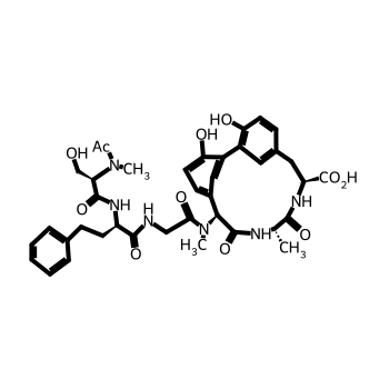 CC(=O)N(C)[C@H](CO)C(=O)N[C@H](CCc1ccccc1)C(=O)NCC(=O)N(C)[C@@H]1C(=O)N[C@@H](C)C(=O)N[C@H](C(=O)O)Cc2ccc(O)c(c2)-c2cc1ccc2O